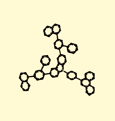 c1ccc(-c2cc(-c3cccc4ccccc34)ccc2-c2ccc3c(c2)c2cc(-c4ccc(-c5cccc6ccccc56)cc4-c4ccccc4)ccc2n3-c2ccc(-c3cc4ccccc4c4ccccc34)cc2)cc1